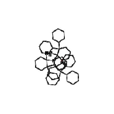 PC1(P(C2(P)CCCCC2(C2CCCCC2)C2CCCCC2)C2(P)CCCCC2(C2CCCCC2)C2CCCCC2)CCCCC1(C1CCCCC1)C1CCCCC1